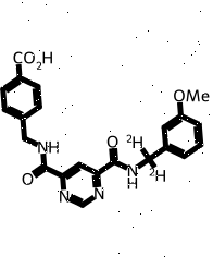 [2H]C([2H])(NC(=O)c1cc(C(=O)NCc2ccc(C(=O)O)cc2)ncn1)c1cccc(OC)c1